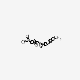 CN1Cc2ccc(CN3CCN(C(=O)CCCc4nc5cc(N(CCCl)CCCl)ccc5n4C)CC3)cc2C1